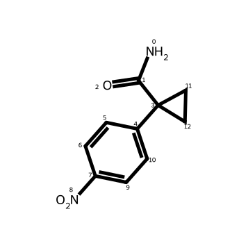 NC(=O)C1(c2ccc([N+](=O)[O-])cc2)CC1